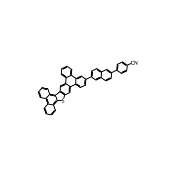 N#Cc1ccc(-c2ccc3cc(-c4ccc5c(c4)c4ccccc4c4cc6c(cc54)sc4c5ccccc5c5ccccc5c64)ccc3c2)cc1